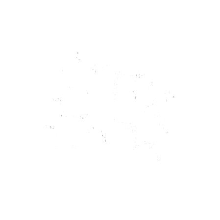 Cc1cnc(Nc2cnn(CC(=O)NC3CC3)c2)nc1NCc1cc(F)cc(F)c1F